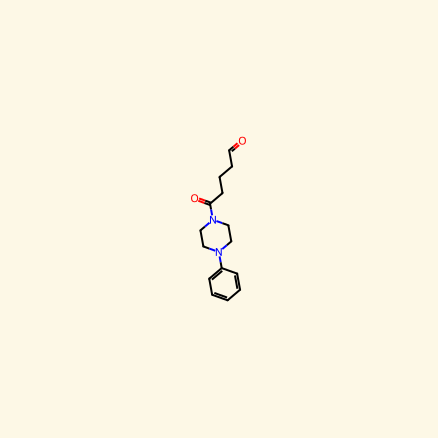 O=CCCCC(=O)N1CCN(c2ccccc2)CC1